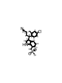 Cc1cc(Cl)ccc1C(CCC#N)c1c[nH]c2c(CS(C)(=O)=O)cccc12